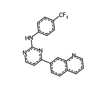 FC(F)(F)c1ccc(Nc2nccc(-c3ccc4cccnc4c3)n2)cc1